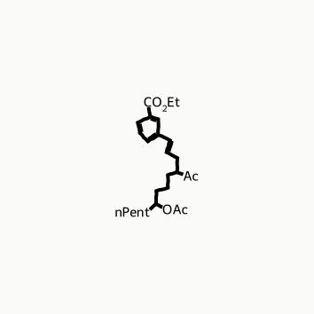 CCCCCC(CCCC(C/C=C/c1cccc(C(=O)OCC)c1)C(C)=O)OC(C)=O